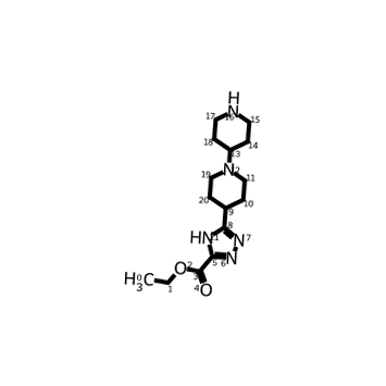 CCOC(=O)c1nnc(C2CCN(C3CCNCC3)CC2)[nH]1